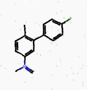 C=[N+](C)c1ccc(C)c(-c2ccc(F)cc2)c1